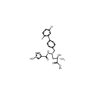 CC(C)OC(=O)[C@](C)(O)CN(Cc1ccc(-c2cc(Cl)ccc2F)cc1)NC(=O)c1cn(O)nn1